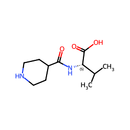 CC(C)[C@H](NC(=O)C1CCNCC1)C(=O)O